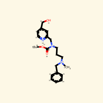 CN(CCCN(Cc1cc(CO)ccn1)C(=O)OC(C)(C)C)Cc1ccccc1